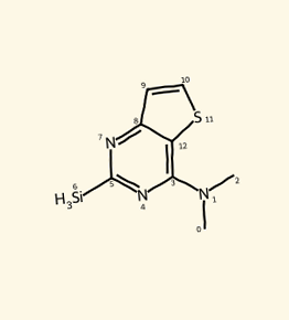 CN(C)c1nc([SiH3])nc2ccsc12